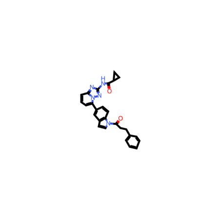 O=C(Nc1nc2cccc(-c3ccc4c(ccn4C(=O)CCc4ccccc4)c3)n2n1)C1CC1